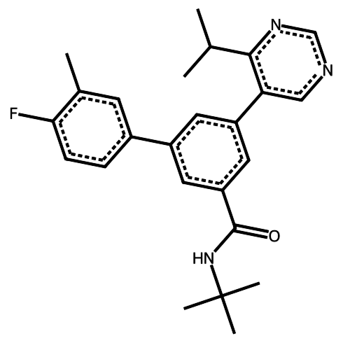 Cc1cc(-c2cc(C(=O)NC(C)(C)C)cc(-c3cncnc3C(C)C)c2)ccc1F